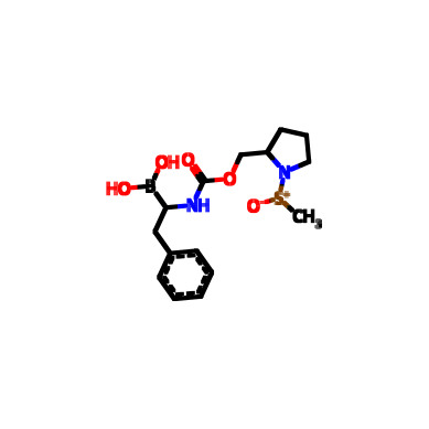 C[S+]([O-])N1CCCC1COC(=O)NC(Cc1ccccc1)B(O)O